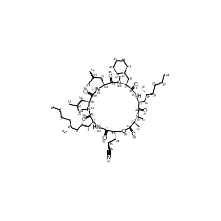 CCCC[C@@H](C)CCC[C@@H]1NC(=O)[C@@H](CCC#N)OC(=O)[C@H](C)N(C)C(=O)[C@H](C[C@H](C)CCCC)NC(=O)[C@H](CC2CCCCC2)N(C)C(=O)[C@H](CC(C)C)NC(=O)[C@H](CC(C)C)N(C)C1=O